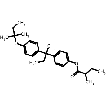 CCC(C)C(=O)Oc1ccc(C(C)(CC)c2ccc(OC(C)(C)CC)cc2)cc1